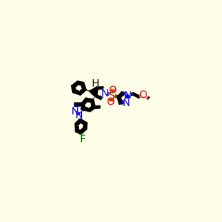 COCCn1cc(S(=O)(=O)N2C[C@@H]3[C@@H](c4ccccc4)[C@]3(c3cc4cnn(-c5ccc(F)cc5)c4cc3C)C2)cn1